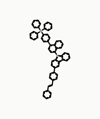 C(=C\c1ccc(-c2ccc3c(c2)c2ccccc2n3-c2ccc(-c3ccc([Si](c4ccccc4)(c4ccccc4)c4ccccc4)cc3)c3ccccc23)cc1)/c1ccccc1